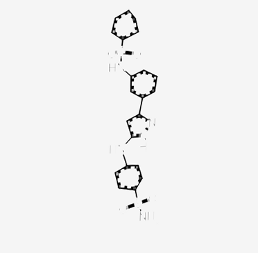 NS(=O)(=O)c1ccc(Nc2cc(-c3cccc(NS(=O)(=O)c4ccccc4)c3)n[nH]2)cc1